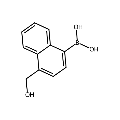 OCc1ccc(B(O)O)c2ccccc12